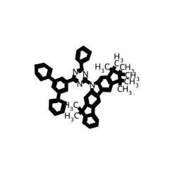 CC1(C)c2ccccc2-c2cc3c4cc5c(cc4n(-c4nc(-c6ccccc6)nc(-c6cc(-c7ccccc7)cc(-c7ccccc7)c6)n4)c3cc21)C(C)(C)C(C)(C)C5(C)C